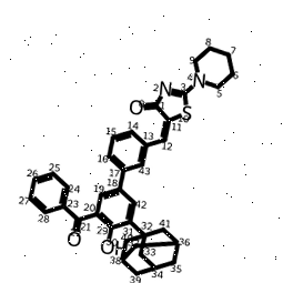 O=C1N=C(N2CCCCC2)S/C1=C/c1cccc(-c2cc(C(=O)c3ccccc3)c(O)c(C34CC5CC(CC(C5)C3)C4)c2)c1